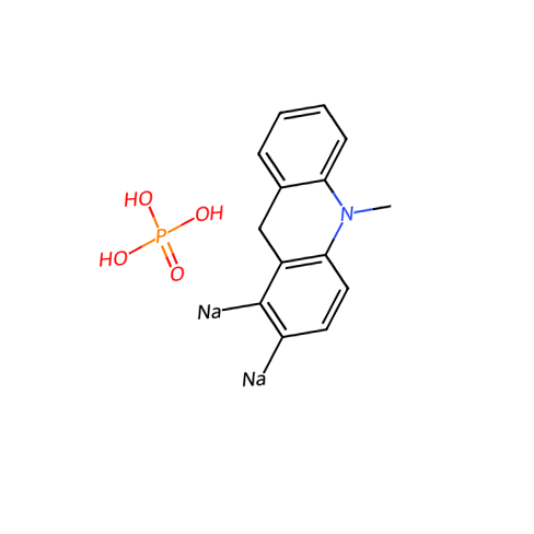 CN1c2ccccc2Cc2c1cc[c]([Na])[c]2[Na].O=P(O)(O)O